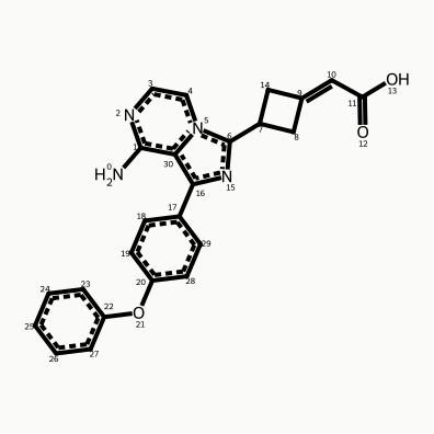 Nc1nccn2c(C3CC(=CC(=O)O)C3)nc(-c3ccc(Oc4ccccc4)cc3)c12